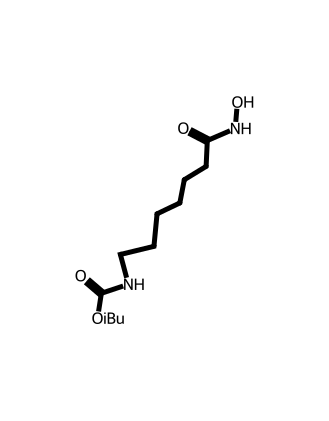 CC(C)COC(=O)NCCCCCCC(=O)NO